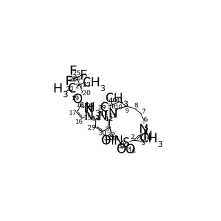 Cc1c2cnn1CCCC1CN(c3nc(-n4ccc(OCC(C)(C)C(F)(F)F)n4)ccc3C(=O)NS2(=O)=O)C(C)(C)C1